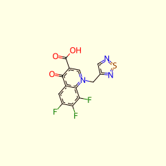 O=C(O)c1cn(Cc2cnsn2)c2c(F)c(F)c(F)cc2c1=O